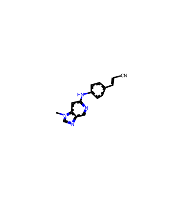 Cn1cnc2cnc(Nc3ccc(/C=C/C#N)cc3)cc21